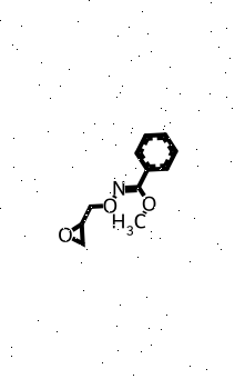 COC(=NOCC1CO1)c1ccccc1